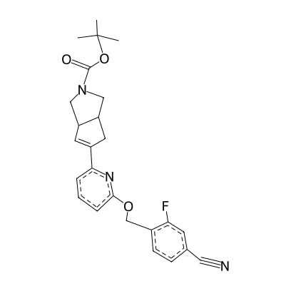 CC(C)(C)OC(=O)N1CC2C=C(c3cccc(OCc4ccc(C#N)cc4F)n3)CC2C1